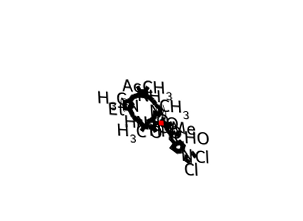 CC[C@H]1c2cc3[nH]c4c(c3C)C(=O)C(C(=O)OC)c4c3nc(cc4[nH]c(cc(n2)[C@@H]1C)c(C(C)=O)c4C)[C@@H](C)[C@@H]3CCC(=O)NC(Cc1ccc(N(CCCl)CCCl)cc1)OC=O